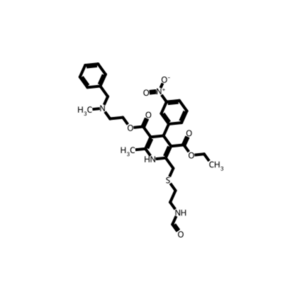 CCOC(=O)C1=C(CSCCNC=O)NC(C)=C(C(=O)OCCN(C)Cc2ccccc2)C1c1cccc([N+](=O)[O-])c1